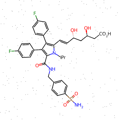 CC(C)n1c(C=C[C@H](O)C[C@@H](O)CC(=O)O)c(-c2ccc(F)cc2)c(-c2ccc(F)cc2)c1C(=O)NCc1ccc(S(N)(=O)=O)cc1